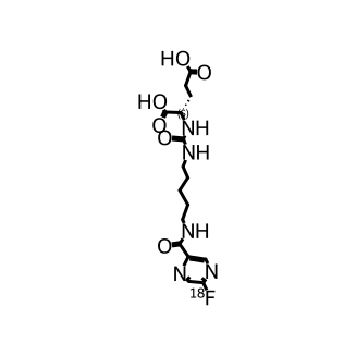 O=C(O)CC[C@H](NC(=O)NCCCCCNC(=O)c1cnc([18F])cn1)C(=O)O